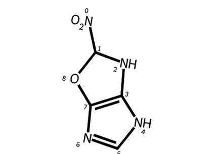 O=[N+]([O-])C1Nc2[nH]cnc2O1